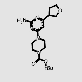 CC(C)(C)OC(=O)N1CCN(c2cc(C3CCOC3)nc(N)n2)CC1